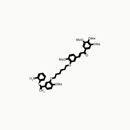 C=C(Sc1ccccc1N)c1ccc(OC)c(OCCCCCCOc2cc(/C=C/C(=O)c3cc(OC)c(OC)c(OC)c3)ccc2OC)c1